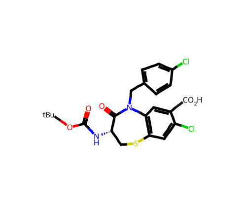 CC(C)(C)OC(=O)N[C@H]1CSc2cc(Cl)c(C(=O)O)cc2N(Cc2ccc(Cl)cc2)C1=O